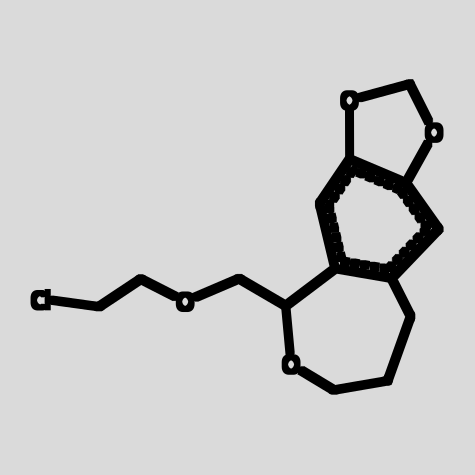 ClCCOCC1OCCCc2cc3c(cc21)OCO3